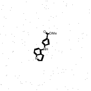 COC(=O)c1ccc(Nc2cccc3ncccc23)cc1